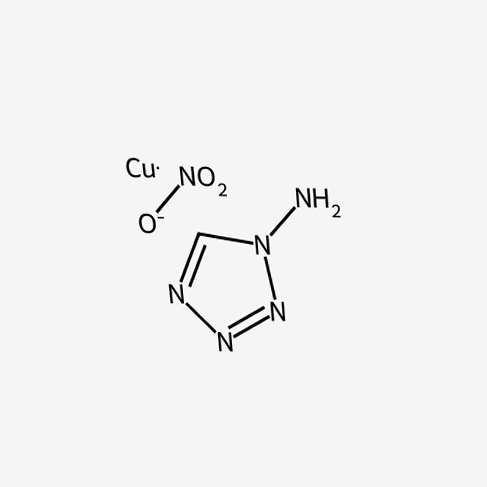 Nn1cnnn1.O=[N+]([O-])[O-].[Cu]